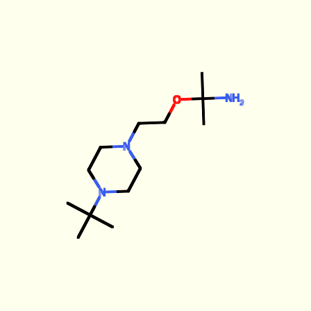 CC(C)(N)OCCN1CCN(C(C)(C)C)CC1